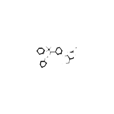 CSc1ncc(CO)c(Nc2cccc(C(O[SiH](c3ccccc3)c3ccccc3)C(C)(C)C)c2)n1